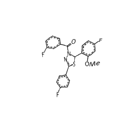 COc1cc(F)ccc1C1SC(c2ccc(F)cc2)=NN1C(=O)c1cccc(F)c1